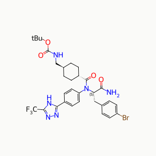 CC(C)(C)OC(=O)NC[C@H]1CC[C@H](C(=O)N(c2ccc(-c3nnc(C(F)(F)F)[nH]3)cc2)[C@@H](Cc2ccc(Br)cc2)C(N)=O)CC1